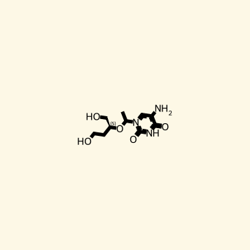 CC(O[C@H](CO)CCO)n1cc(N)c(=O)[nH]c1=O